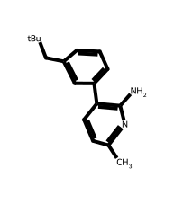 Cc1ccc(-c2cccc(CC(C)(C)C)c2)c(N)n1